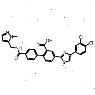 Cn1nccc1CNC(=O)c1ccc(-c2ccc(-c3nc(-c4ccc(Cl)c(Cl)c4)cs3)cc2C(=O)O)cc1